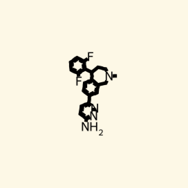 CN1CCC(c2c(F)cccc2F)c2ccc(-c3ccc(N)nn3)cc2C1